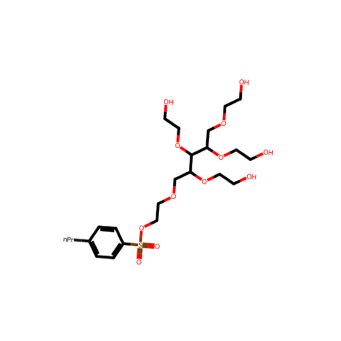 CCCc1ccc(S(=O)(=O)OCCOCC(OCCO)C(OCCO)C(COCCO)OCCO)cc1